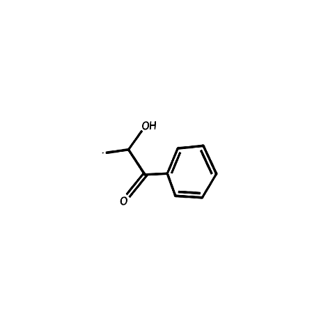 [CH2]C(O)C(=O)c1ccccc1